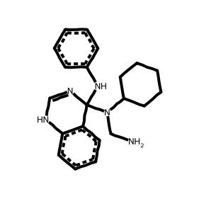 NCN(C1CCCCC1)C1(Nc2ccccc2)N=CNc2ccccc21